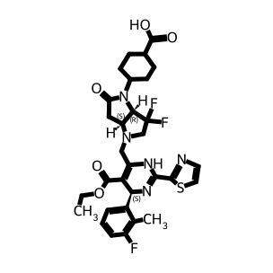 CCOC(=O)C1=C(CN2CC(F)(F)[C@H]3[C@@H]2CC(=O)N3C2CCC(C(=O)O)CC2)NC(c2nccs2)=N[C@H]1c1cccc(F)c1C